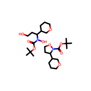 CC(C)(C)OC(=O)N(O)C(CCO)C1CCCOC1.CC(C)(C)OC(=O)N1OCCC1C1CCCOC1